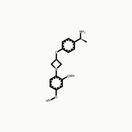 CCCOc1ccc(N2CC(Oc3ccc([C@H](C)N)cc3)C2)c(OC)c1